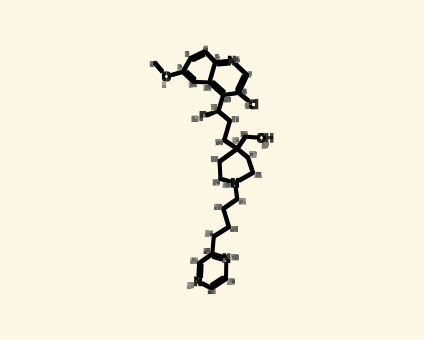 COc1ccc2ncc(Cl)c([C@H](F)CCC3(CO)CCN(CCCCc4cnccn4)CC3)c2c1